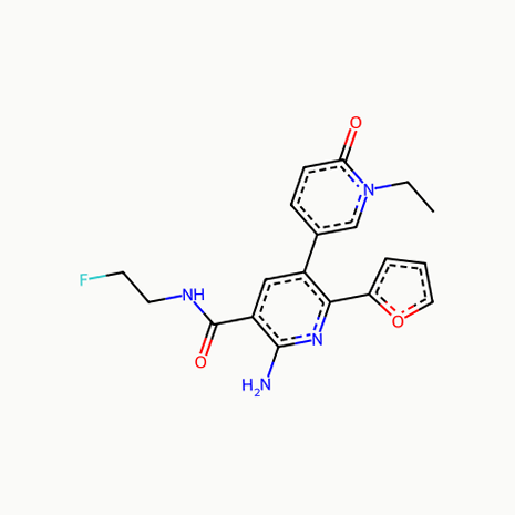 CCn1cc(-c2cc(C(=O)NCCF)c(N)nc2-c2ccco2)ccc1=O